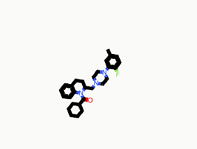 Cc1ccc(F)c(N2CCN(CC3CCc4ccccc4N3C(=O)C3CCCCC3)CC2)c1